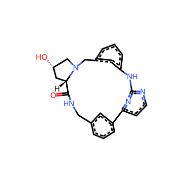 O=C1NCc2cccc(c2)-c2ccnc(n2)Nc2cccc(c2)CN2C[C@@H](O)C[C@@H]12